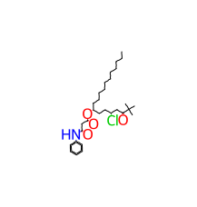 CCCCCCCCCCCC(CCC(Cl)CC(=O)C(C)(C)C)OC(=O)CC(=O)Nc1ccccc1